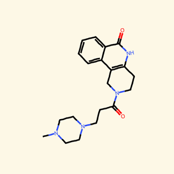 CN1CCN(CCC(=O)N2CCc3[nH]c(=O)c4ccccc4c3C2)CC1